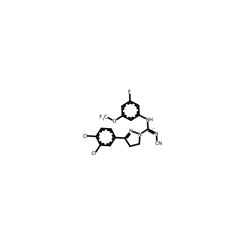 N#C/N=C(/Nc1cc(F)cc(OC(F)(F)F)c1)N1CCC(c2ccc(Cl)c(Cl)c2)=N1